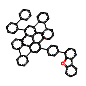 c1ccc(-c2ccccc2-c2cc(-c3ccc(-c4cccc5c4oc4ccccc45)cc3)c3ccc4c(-c5ccccc5-c5ccccc5)cc(-c5ccccc5-c5ccccc5)c5ccc2c3c45)cc1